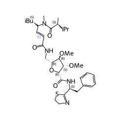 CC[C@H](C)C(/C=C/C(=O)NC[C@H]1O[C@@H](C(=O)N[C@@H](Cc2ccccc2)C2=NCCS2)[C@@H](OC)[C@@H]1OC)N(C)C(=O)[C@@H](C)C(C)C